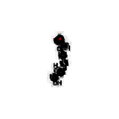 Cc1cc(CN2CCN(c3ccc(C(=O)NS(=O)(=O)CC45CC6CC(CC(C6)C4)C5)nn3)CC2)ccc1-c1cncc(O)c1